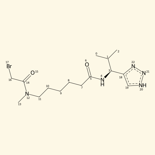 CC(C)[C@H](NC(=O)CCCCCN(C)C(=O)CBr)c1c[nH]nn1